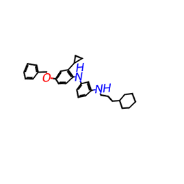 c1ccc(COc2ccc(Nc3cccc(NCCCC4CCCCC4)c3)c(C3CC3)c2)cc1